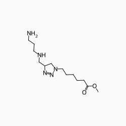 COC(=O)CCCCCN1CC(CNCCCN)N=N1